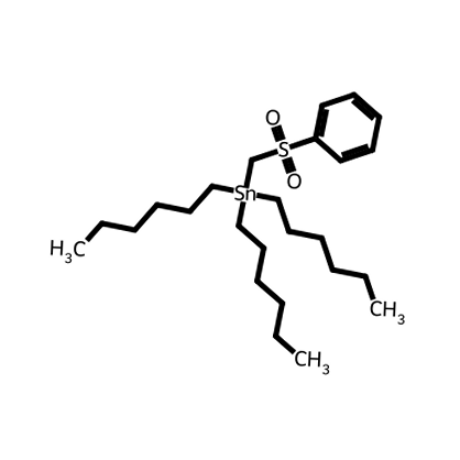 CCCCC[CH2][Sn]([CH2]CCCCC)([CH2]CCCCC)[CH2]S(=O)(=O)c1ccccc1